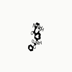 O=C(Nc1ccc(S)c(C(=O)c2ncc[nH]2)c1)Oc1ccccc1